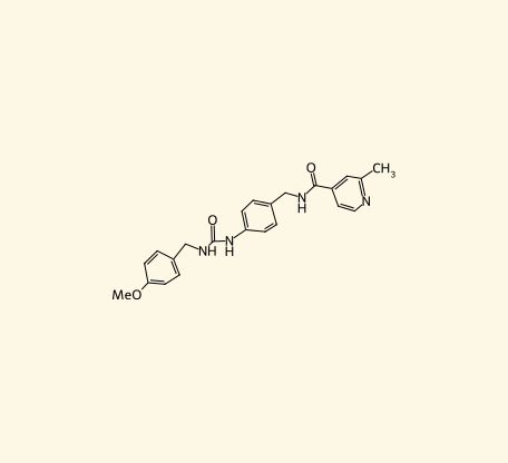 COc1ccc(CNC(=O)Nc2ccc(CNC(=O)c3ccnc(C)c3)cc2)cc1